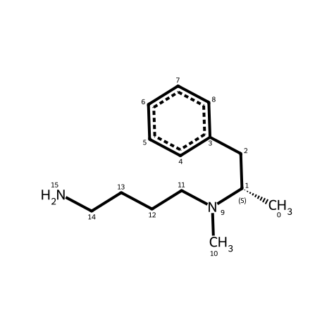 C[C@@H](Cc1ccccc1)N(C)CCCCN